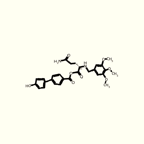 COc1cc(CN[C@@H](CCC(N)=O)C(=O)OC(=O)c2ccc(-c3ccc(O)cc3)cc2)cc(OC)c1OC